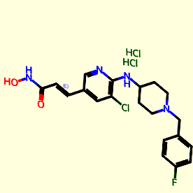 Cl.Cl.O=C(/C=C/c1cnc(NC2CCN(Cc3ccc(F)cc3)CC2)c(Cl)c1)NO